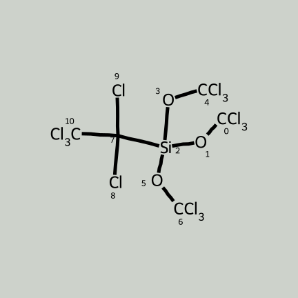 ClC(Cl)(Cl)O[Si](OC(Cl)(Cl)Cl)(OC(Cl)(Cl)Cl)C(Cl)(Cl)C(Cl)(Cl)Cl